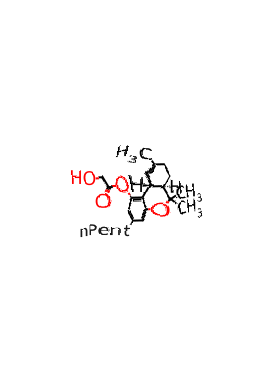 CCCCCc1cc(OC(=O)CO)c2c(c1)OC(C)(C)[C@@H]1CCC(C)=C[C@@H]21